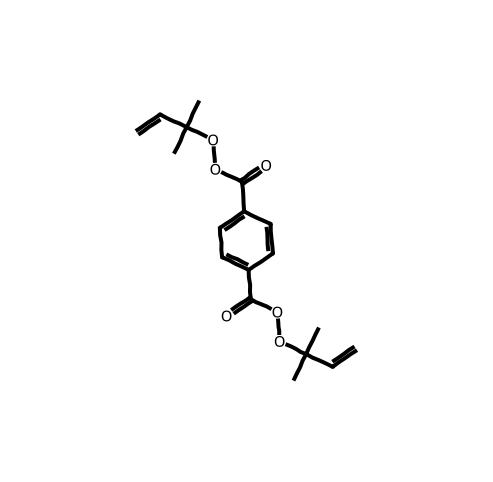 C=CC(C)(C)OOC(=O)c1ccc(C(=O)OOC(C)(C)C=C)cc1